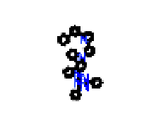 C1=CC2c3c(ccc4c3c3ccccc3n4-c3cccc(-c4cccc(-c5cccc(-c6ccccc6)c5)n4)c3)N(c3nc(-c4ccccc4)nc(-c4ccccc4)n3)C2C=C1